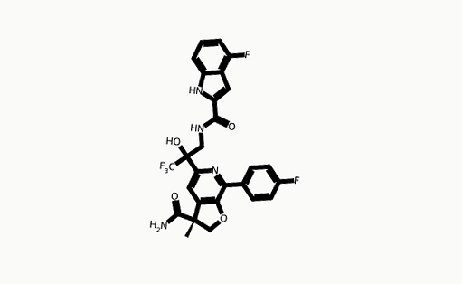 C[C@]1(C(N)=O)COc2c1cc(C(O)(CNC(=O)c1cc3c(F)cccc3[nH]1)C(F)(F)F)nc2-c1ccc(F)cc1